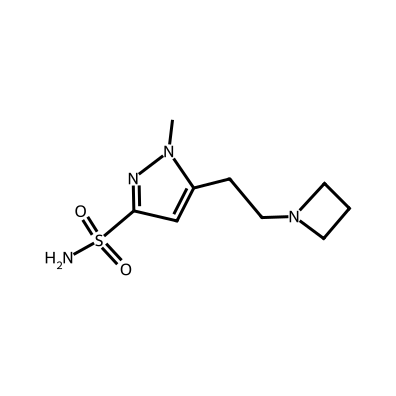 Cn1nc(S(N)(=O)=O)cc1CCN1CCC1